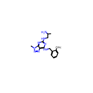 CC(=O)Oc1ccccc1CNc1nc(NCC(C)N)nc2c1nnn2C